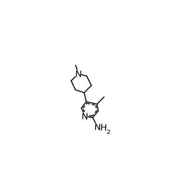 Cc1cc(N)ncc1C1CCN(C)CC1